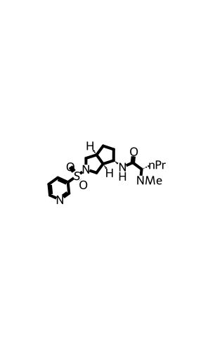 CCC[C@H](NC)C(=O)N[C@H]1CC[C@@H]2CN(S(=O)(=O)c3cccnc3)C[C@@H]21